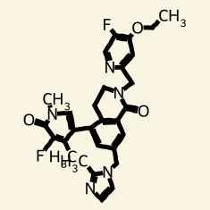 CCOc1cc(CN2CCc3c(cc(Cn4ccnc4C)cc3-c3cn(C)c(=O)c(F)c3C)C2=O)ncc1F